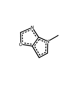 Cn1ccc2ocnc21